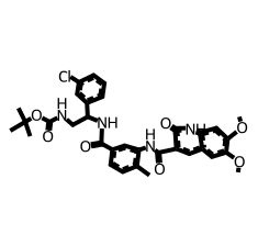 COc1cc2cc(C(=O)Nc3cc(C(=O)NC(CNC(=O)OC(C)(C)C)c4cccc(Cl)c4)ccc3C)c(=O)[nH]c2cc1OC